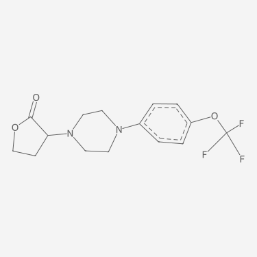 O=C1OCCC1N1CCN(c2ccc(OC(F)(F)F)cc2)CC1